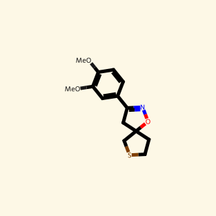 COc1ccc(C2=NOC3(CCSC3)C2)cc1OC